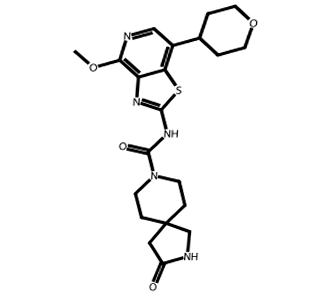 COc1ncc(C2CCOCC2)c2sc(NC(=O)N3CCC4(CC3)CNC(=O)C4)nc12